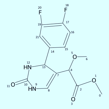 COC(=O)C(OC)C1=CNC(=O)NC1c1ccc(F)c(F)c1